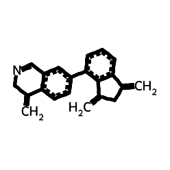 C=C1CN=Cc2cc(-c3cccc4c3C(=C)CC4=C)ccc21